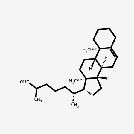 CC(C=O)CCC[C@@H](C)[C@H]1CC[C@H]2[C@@H]3CC=C4CCCC[C@]4(C)[C@H]3CC[C@]12C